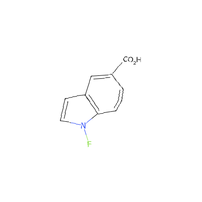 O=C(O)c1ccc2c(ccn2F)c1